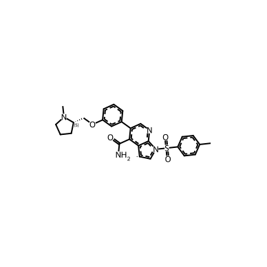 Cc1ccc(S(=O)(=O)n2c[c]c3c(C(N)=O)c(-c4cccc(OC[C@@H]5CCCN5C)c4)cnc32)cc1